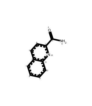 NC(=O)c1ccc2c[c]ccc2n1